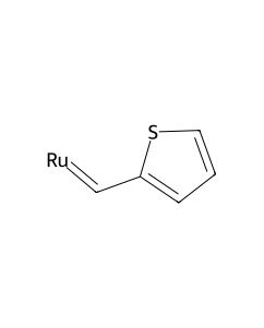 [Ru]=[CH]c1cccs1